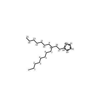 CCCCCCCCC(CCCCCCC)CCc1cccs1